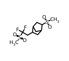 CS(=O)(=O)C1CC2CC1CC2CC(F)(F)S(C)(=O)=O